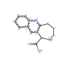 O=C(O)C1NCCCc2nc3ccccc3cc21